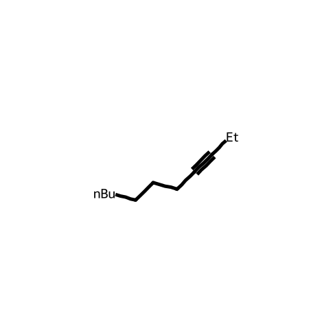 [CH2]CC#CCCCCCC[CH2]